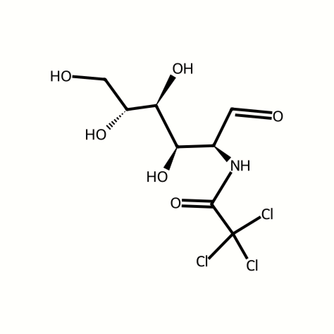 O=C[C@@H](NC(=O)C(Cl)(Cl)Cl)[C@@H](O)[C@H](O)[C@H](O)CO